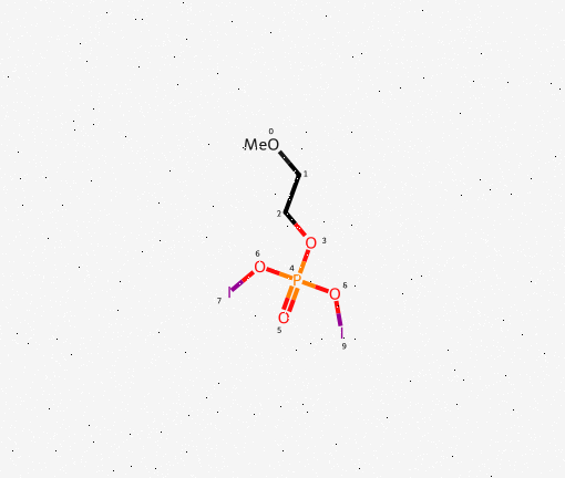 COCCOP(=O)(OI)OI